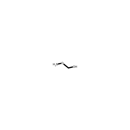 NOCO